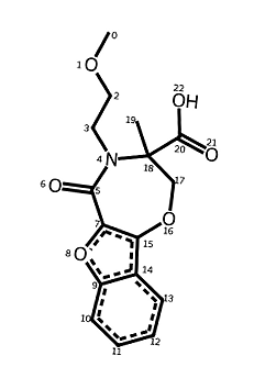 COCCN1C(=O)c2oc3ccccc3c2OCC1(C)C(=O)O